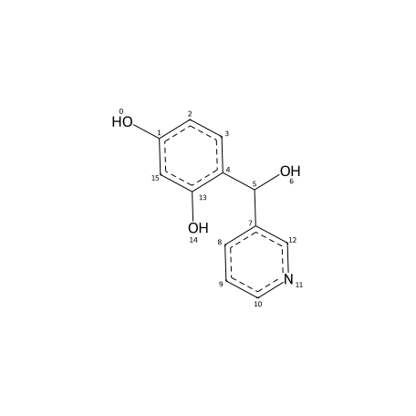 Oc1ccc(C(O)c2cccnc2)c(O)c1